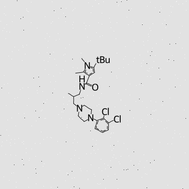 Cc1c(C(=O)NCC(C)CN2CCN(c3cccc(Cl)c3Cl)CC2)cc(C(C)(C)C)n1C